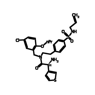 C=CCNS(=O)(=O)c1ccc(CCN(Cc2cc(Cl)ccc2OCCC)C(=O)[C@H](N)c2ccsc2)cc1